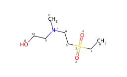 CCS(=O)(=O)CCN(C)CCO